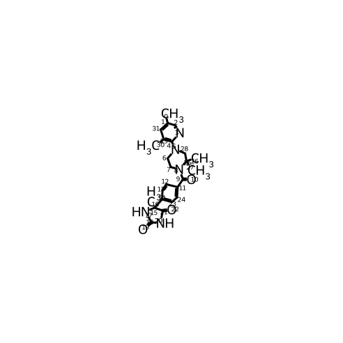 Cc1cnc(N2CCN(C(=O)c3ccc(C4(C)NC(=O)NC4=O)cc3)C(C)(C)C2)c(C)c1